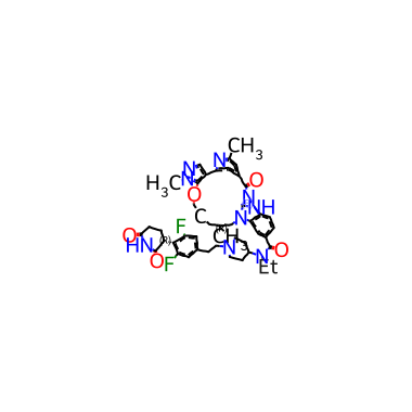 CCN(C(=O)c1ccc2c(c1)N1C[C@H](C)CCCOc3c(cnn3C)-c3cc(cc(C)n3)C(=O)/N=C/1N2)C1CCN(CCc2cc(F)c([C@H]3CCC(=O)NC3=O)c(F)c2)CC1